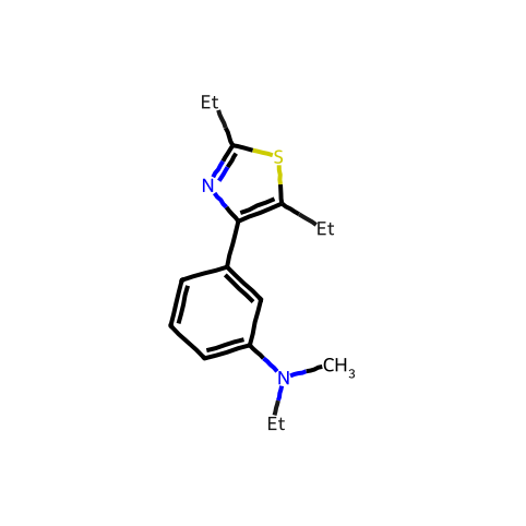 CCc1nc(-c2cccc(N(C)CC)c2)c(CC)s1